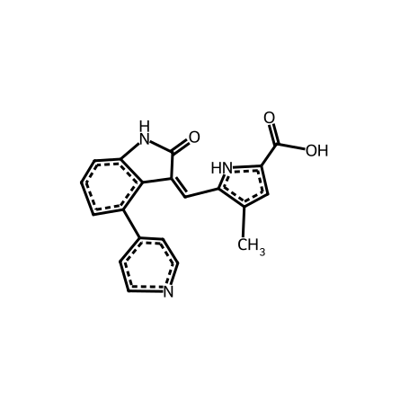 Cc1cc(C(=O)O)[nH]c1C=C1C(=O)Nc2cccc(-c3ccncc3)c21